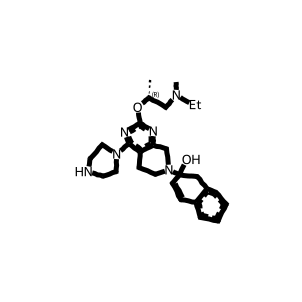 CCN(C)C[C@@H](C)Oc1nc2c(c(N3CCNCC3)n1)CCN(C1(O)C=Cc3ccccc3C1)C2